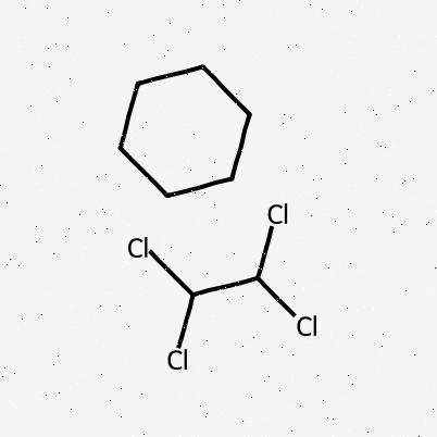 C1CCCCC1.ClC(Cl)C(Cl)Cl